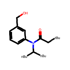 CCCCC(CCCC)N(C(=O)CC(C)(C)C)c1cccc(CO)c1